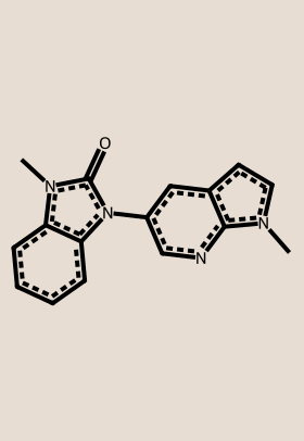 Cn1ccc2cc(-n3c(=O)n(C)c4ccccc43)cnc21